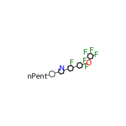 CCCCCC1CCC(c2ccc(-c3ccc(-c4ccc(C(F)(F)Oc5cc(F)c(F)c(F)c5)cc4)c(F)c3)nc2)CC1